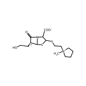 C[N+]1(CCSC2SC3[C@@H](CCO)C(=O)N3C2C(=O)[O-])CCCC1